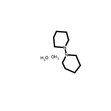 C1CCN(N2CCCCC2)CC1.O.O